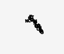 CC(C)OC1CC=C(c2ncc(-c3cccc4c3CC/C4=N/C(=O)N3CCOCC3)s2)C=C1C#N